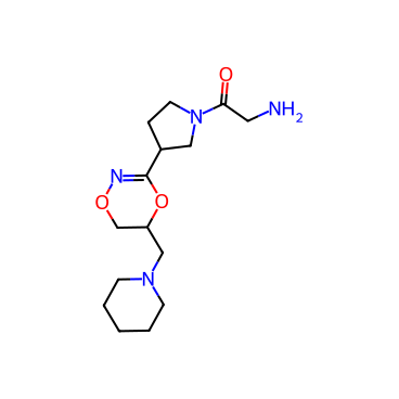 NCC(=O)N1CCC(C2=NOCC(CN3CCCCC3)O2)C1